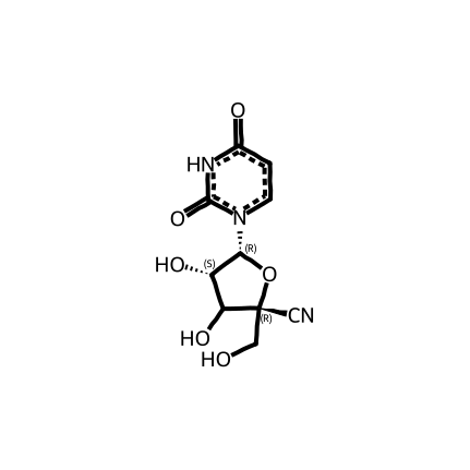 N#C[C@]1(CO)O[C@@H](n2ccc(=O)[nH]c2=O)[C@@H](O)C1O